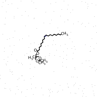 CCCCCCCC/C=C\CCCCCCCC(=O)OCC1(C)COC(C)(C)OC1